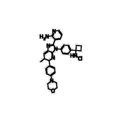 CC1C=c2nc(-c3cccnc3N)n(-c3ccc(C4(NCl)CCC4)cc3)c2=NC1c1ccc(N2CCOCC2)cc1